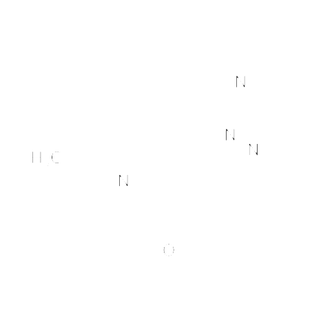 Cc1ccc(-n2nccn2)c(C=O)n1